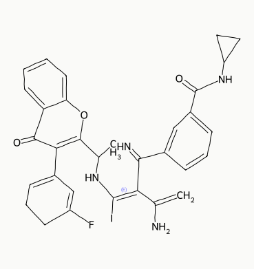 C=C(N)/C(C(=N)c1cccc(C(=O)NC2CC2)c1)=C(\I)NC(C)c1oc2ccccc2c(=O)c1C1=CCCC(F)=C1